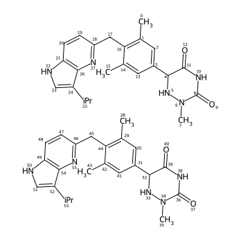 Cc1cc(C2NN(C)C(=O)NC2=O)cc(C)c1Cc1ccc2[nH]cc(C(C)C)c2n1.Cc1cc(C2NN(C)C(=O)NC2=O)cc(C)c1Cc1ccc2[nH]cc(C(C)C)c2n1